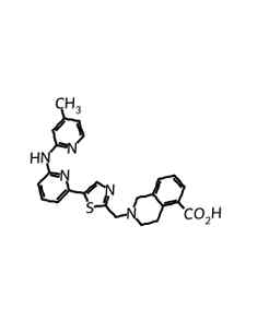 Cc1ccnc(Nc2cccc(-c3cnc(CN4CCc5c(cccc5C(=O)O)C4)s3)n2)c1